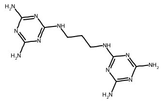 Nc1nc(N)nc(NCCCNc2nc(N)nc(N)n2)n1